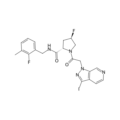 Cc1cccc(CNC(=O)[C@@H]2C[C@@H](F)CN2C(=O)Cn2nc(I)c3ccncc32)c1F